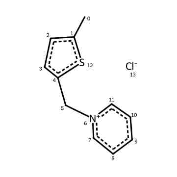 Cc1ccc(C[n+]2ccccc2)s1.[Cl-]